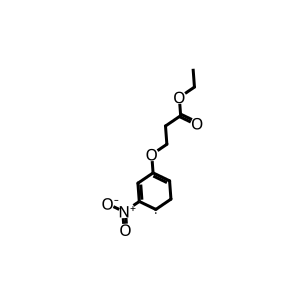 CCOC(=O)CCOC1=CC[CH]C([N+](=O)[O-])=C1